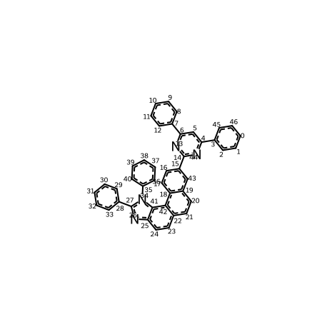 c1ccc(-c2cc(-c3ccccc3)nc(-c3ccc4c(ccc5ccc6nc(-c7ccccc7)n(-c7ccccc7)c6c54)c3)n2)cc1